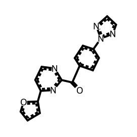 O=C(c1ccc(-n2nccn2)cc1)c1nccc(-c2ccco2)n1